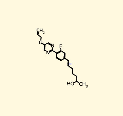 C=CCOc1cnc(-c2ccc(/C=C/CCCC(C)O)cc2F)nc1